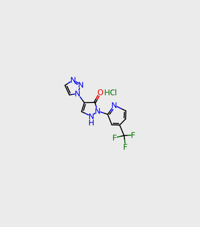 Cl.O=c1c(-n2ccnn2)c[nH]n1-c1cc(C(F)(F)F)ccn1